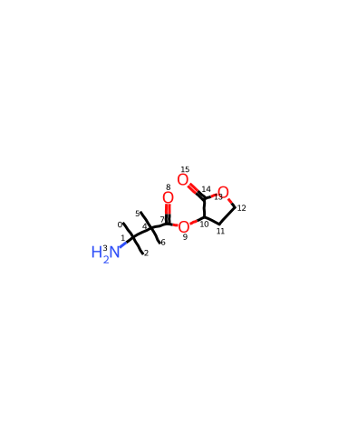 CC(C)(N)C(C)(C)C(=O)OC1CCOC1=O